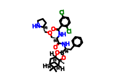 CC1(C)[C@H]2C[C@H]3OB([C@H](Cc4ccccc4)NC(=O)[C@H](COC[C@H]4CCCN4)NC(=O)c4cc(Cl)ccc4Cl)O[C@@]3(C)[C@H]1C2